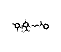 NC(=O)c1c(Nc2ccc(I)cc2F)cc(F)cc1OCCCNC(=O)c1ccccc1